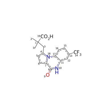 CC(C)(Cc1ccc2c(=O)[nH]c3cc(C(F)(F)F)ccc3n12)C(=O)O